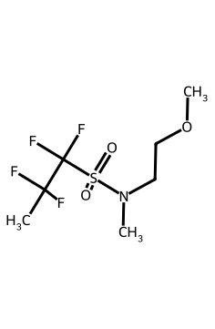 COCCN(C)S(=O)(=O)C(F)(F)C(C)(F)F